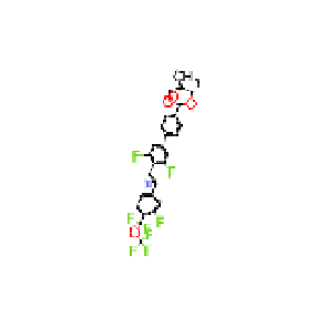 CC12COC(c3ccc(-c4cc(F)c(/C=C/c5ccc(C(F)(F)OC(F)(F)F)c(F)c5)c(F)c4)cc3)(OC1)O2